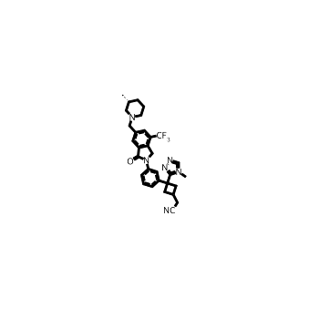 C[C@@H]1CCCN(Cc2cc3c(c(C(F)(F)F)c2)CN(c2cccc(C4(c5nncn5C)CC(CC#N)C4)c2)C3=O)C1